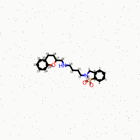 O=S1(=O)c2ccccc2CN1CCCCNCC1CCc2ccccc2O1